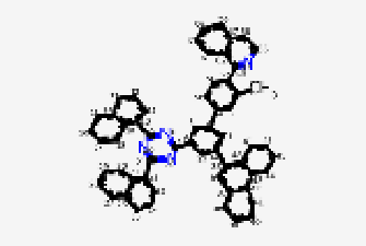 Cc1cc(-c2cc(-c3nc(-c4cccc5ccccc45)nc(-c4cccc5ccccc45)n3)cc(-c3cc4ccccc4c4ccccc34)c2)ccc1-c1nccc2ccccc12